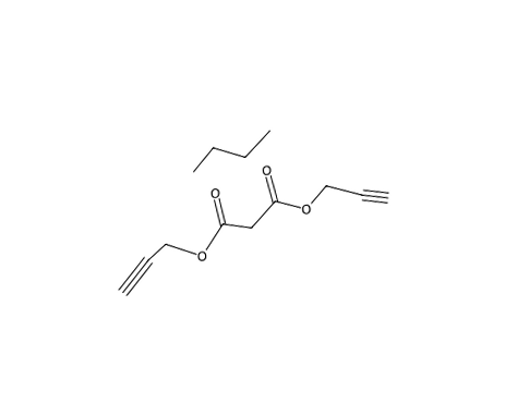 C#CCOC(=O)CC(=O)OCC#C.CCCC